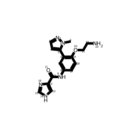 Cn1nccc1-c1cc(NC(=O)c2c[nH]cn2)ccc1OCCN